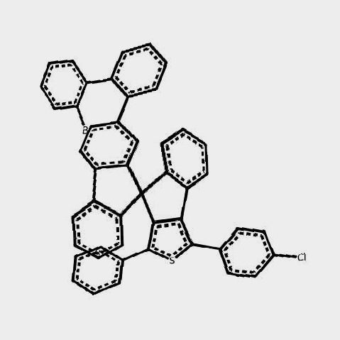 Clc1ccc(-c2sc(-c3ccccc3)c3c2-c2ccccc2C32c3ccccc3-c3ccc(-c4ccccc4-c4ccccc4Br)cc32)cc1